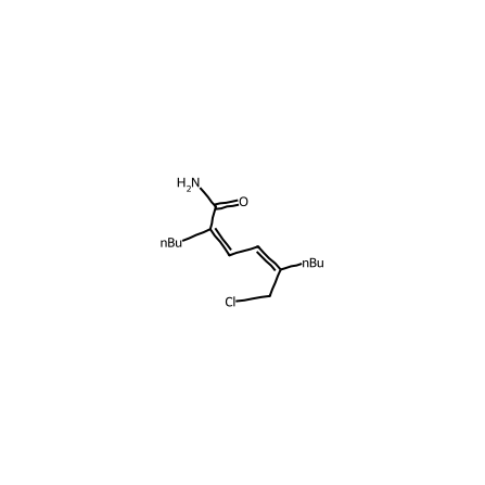 CCCCC(=CC=C(CCCC)C(N)=O)CCl